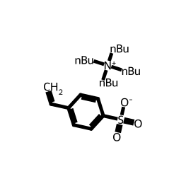 C=Cc1ccc(S(=O)(=O)[O-])cc1.CCCC[N+](CCCC)(CCCC)CCCC